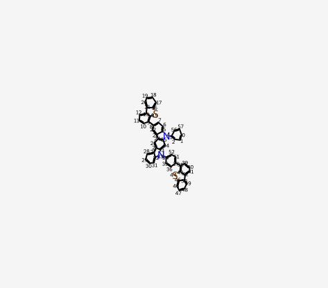 c1ccc(-n2c3ccc(-c4cccc5c4sc4ccccc45)cc3c3cc4c5ccccc5n(-c5ccc(-c6cccc7c6sc6ccccc67)cc5)c4cc32)cc1